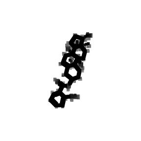 CC(=O)Oc1ccccc1C(=O)OC1CC[C@@]2(C)C(=CC[C@H]3[C@@H]4CC[C@H](C(C)=O)[C@@]4(C)CC[C@@H]32)C1